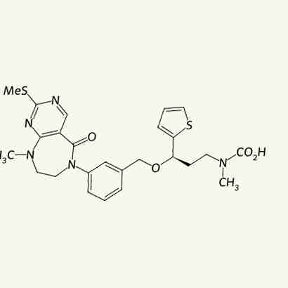 CSc1ncc2c(n1)N(C)CCN(c1cccc(CO[C@H](CCN(C)C(=O)O)c3cccs3)c1)C2=O